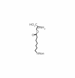 CCCCCCCCCCCCCCCC(=O)OC[C@H](N)C(=O)O